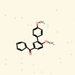 COc1ccc(-c2cc(C(=O)c3ccccc3)ccc2OC)cc1